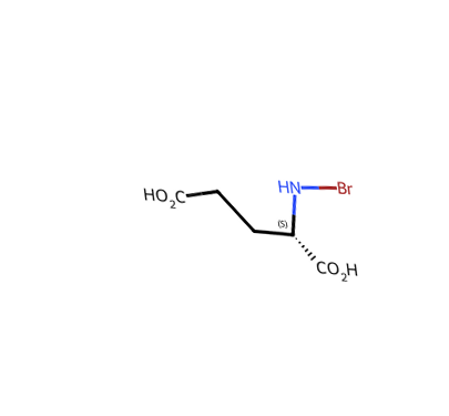 O=C(O)CC[C@H](NBr)C(=O)O